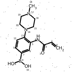 C=CC(=O)Nc1cc(B(O)O)ccc1N1CCN(C)CC1